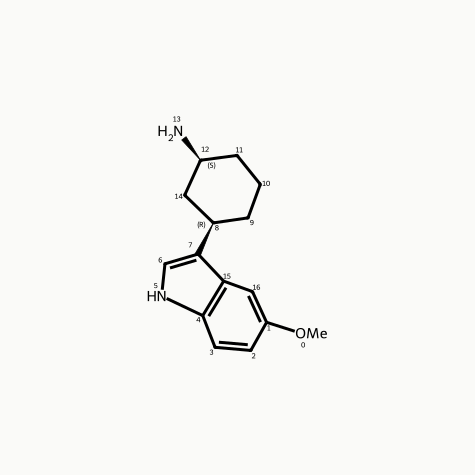 COc1ccc2[nH]cc([C@@H]3CCC[C@H](N)C3)c2c1